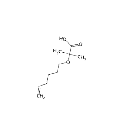 C=CCCCCOC(C)(C)C(=O)O